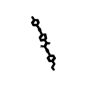 CCCc1ccc(C#CC(F)=C(F)c2ccc(C#Cc3ccc(C)cc3)cc2)cc1